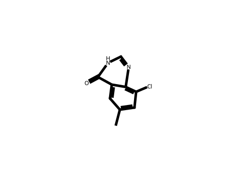 Cc1cc(Cl)c2nc[nH]c(=O)c2c1